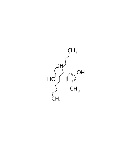 CCCCCCCCCCCC.Cc1cccc(O)c1.OCCO